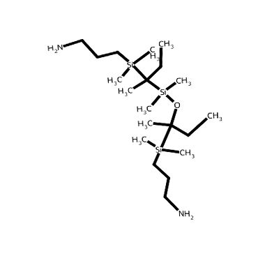 CCC(C)(O[Si](C)(C)C(C)(CC)[Si](C)(C)CCCN)[Si](C)(C)CCCN